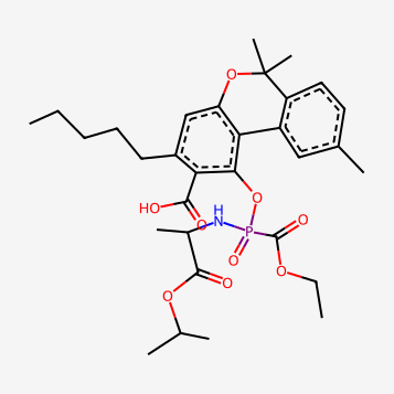 CCCCCc1cc2c(c(OP(=O)(NC(C)C(=O)OC(C)C)C(=O)OCC)c1C(=O)O)-c1cc(C)ccc1C(C)(C)O2